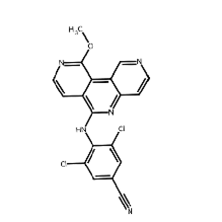 COc1nccc2c(Nc3c(Cl)cc(C#N)cc3Cl)nc3ccncc3c12